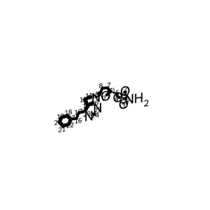 NS(=O)(=O)OC[C@@H]1CC[C@H](n2ccc3c(CCc4ccccc4)ncnc32)O1